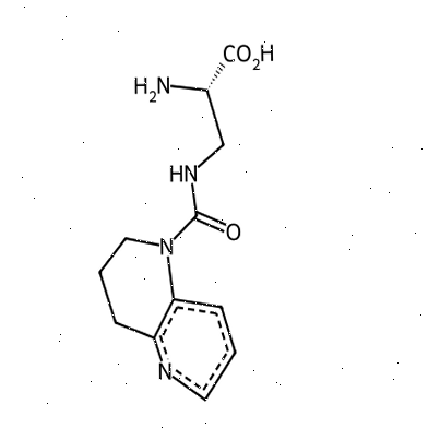 N[C@@H](CNC(=O)N1CCCc2ncccc21)C(=O)O